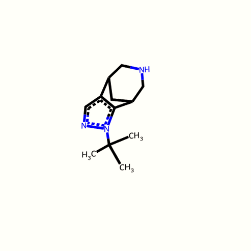 CC(C)(C)n1ncc2c1C1CNCC2C1